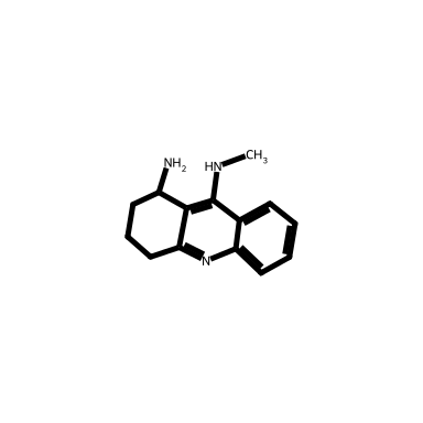 CNc1c2c(nc3ccccc13)CCCC2N